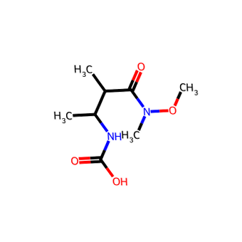 CON(C)C(=O)C(C)C(C)NC(=O)O